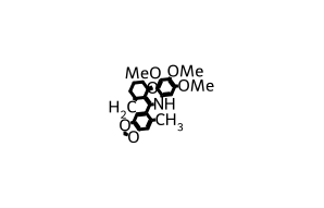 C=C1CCCC(=O)/C1=C(\Nc1cc(OC)c(OC)c(OC)c1)c1cc2c(cc1C)OCO2